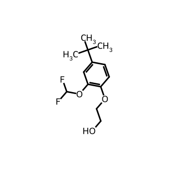 CC(C)(C)c1ccc(OCCO)c(OC(F)F)c1